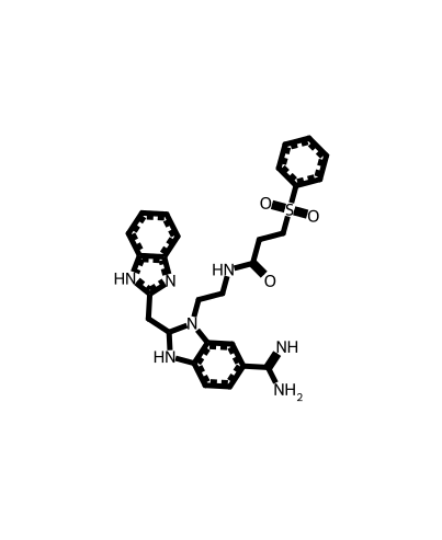 N=C(N)c1ccc2c(c1)N(CCNC(=O)CCS(=O)(=O)c1ccccc1)C(Cc1nc3ccccc3[nH]1)N2